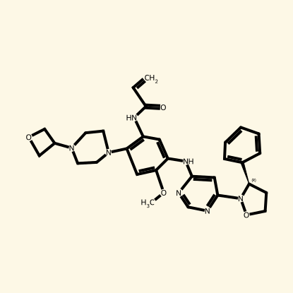 C=CC(=O)Nc1cc(Nc2cc(N3OCC[C@@H]3c3ccccc3)ncn2)c(OC)cc1N1CCN(C2COC2)CC1